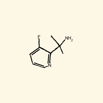 CC(C)(N)c1ncccc1F